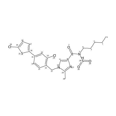 CCCCCN(C(=O)c1cn(Cc2ccc(-c3ccc(Cl)s3)cc2Cl)c(C)n1)[SH](=O)=O